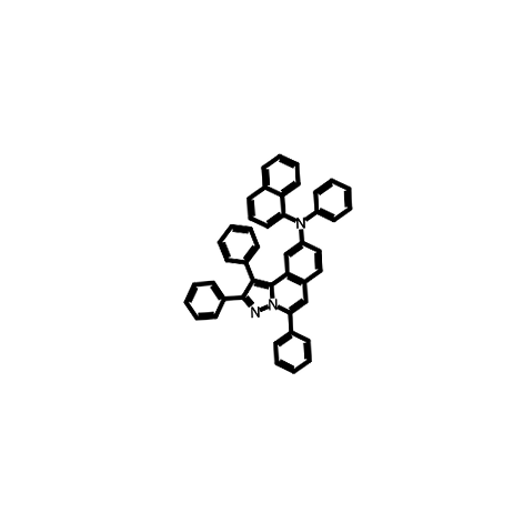 c1ccc(-c2nn3c(-c4ccccc4)cc4ccc(N(c5ccccc5)c5cccc6ccccc56)cc4c3c2-c2ccccc2)cc1